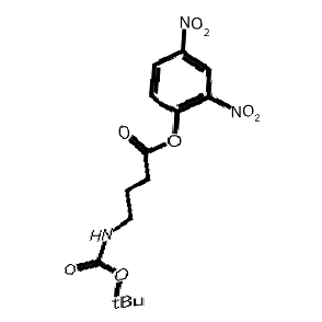 CC(C)(C)OC(=O)NCCCC(=O)Oc1ccc([N+](=O)[O-])cc1[N+](=O)[O-]